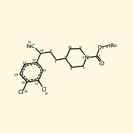 CC(C)(C)OC(=O)N1CCC(CCC(C#N)c2ccc(Cl)c(Cl)c2)CC1